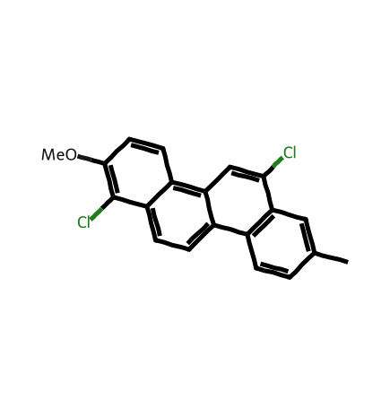 COc1ccc2c(ccc3c4ccc(C)cc4c(Cl)cc23)c1Cl